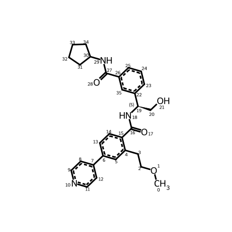 COCCc1cc(-c2ccncc2)ccc1C(=O)N[C@H](CO)c1cccc(C(=O)NC2CCCC2)c1